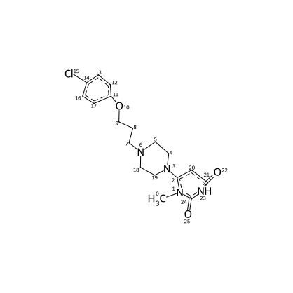 Cn1c(N2CCN(CCCOc3ccc(Cl)cc3)CC2)cc(=O)[nH]c1=O